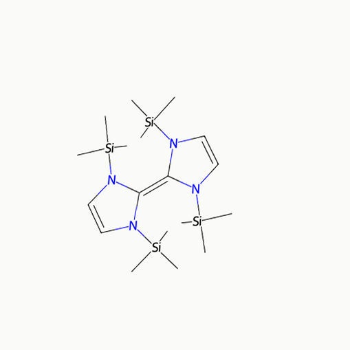 C[Si](C)(C)N1C=CN([Si](C)(C)C)C1=C1N([Si](C)(C)C)C=CN1[Si](C)(C)C